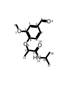 COc1cc(C=O)ccc1OC(C)C(=O)NC(C)C